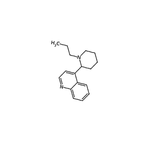 CCCN1CCCCC1c1ccnc2ccccc12